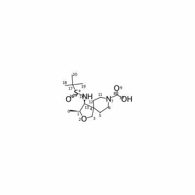 C[C@@H]1OCC2(CCN(C(=O)O)CC2)[C@@H]1N[S@+]([O-])C(C)(C)C